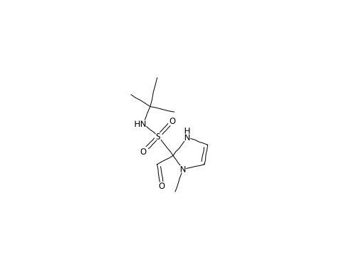 CN1C=CNC1(C=O)S(=O)(=O)NC(C)(C)C